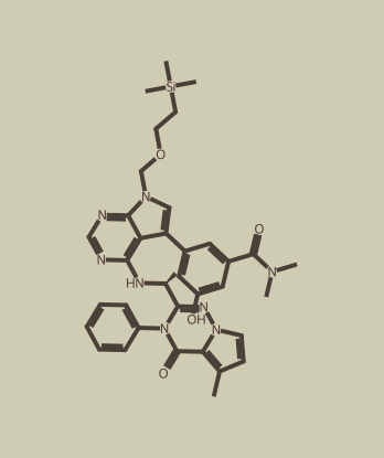 Cc1ccn2nc([C@H](C)Nc3ncnc4c3c(-c3cc(O)cc(C(=O)N(C)C)c3)cn4COCC[Si](C)(C)C)n(-c3ccccc3)c(=O)c12